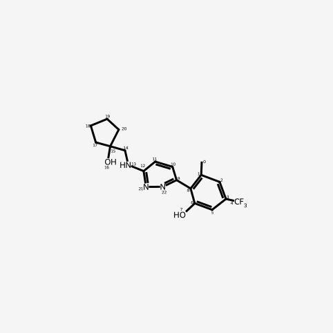 Cc1cc(C(F)(F)F)cc(O)c1-c1ccc(NCC2(O)CCCC2)nn1